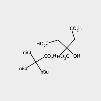 CCCCC(CCCC)(CCCC)C(=O)O.O=C(O)CC(O)(CC(=O)O)C(=O)O